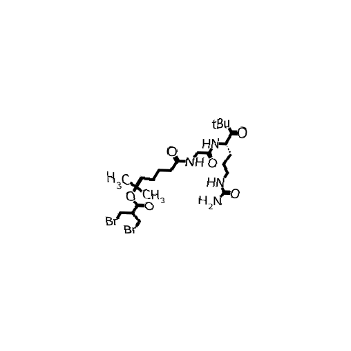 CC(C)(CCCCC(=O)NCC(=O)N[C@@H](CCCNC(N)=O)C(=O)C(C)(C)C)OC(=O)C(CBr)CBr